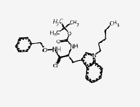 CCCCCn1cc(C[C@H](NC(=O)OC(C)(C)C)C(=O)NOCc2ccccc2)c2ccccc21